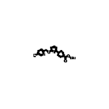 CC(C)(C)OC(=O)N1CCC(c2cccc(OCc3ccc(Cl)cn3)n2)CC1